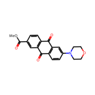 COC(=O)c1ccc2c(c1)C(=O)c1ccc(N3CCOCC3)cc1C2=O